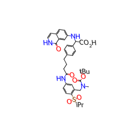 CC(C)S(=O)(=O)c1ccc(NC(=O)CCCc2ccc(C(Nc3ccc4cc[nH]c(=O)c4c3)C(=O)O)cc2)cc1CN(C)C(=O)OC(C)(C)C